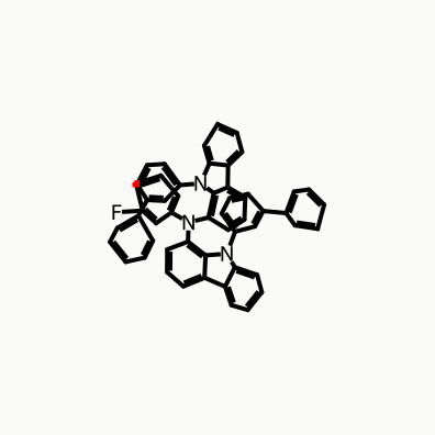 Fc1cccc(N(c2cccc3c4ccccc4n(-c4cccc(-c5ccccc5)c4)c23)c2cccc3c4ccccc4n(-c4cccc(-c5ccccc5)c4)c23)c1